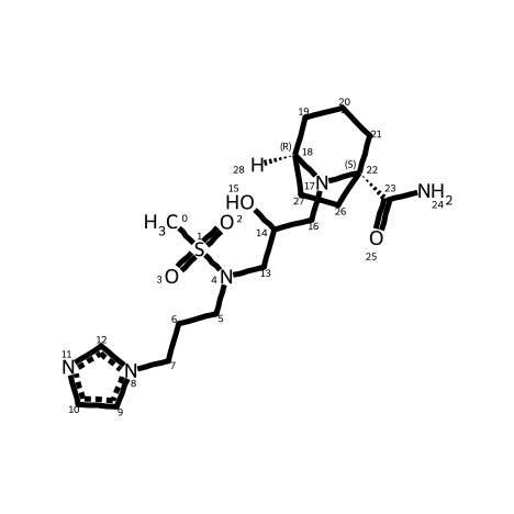 CS(=O)(=O)N(CCCn1ccnc1)CC(O)CN1[C@@H]2C[CH]C[C@@]1(C(N)=O)CC2